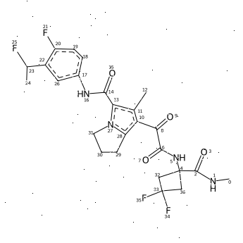 CNC(=O)C1(NC(=O)C(=O)c2c(C)c(C(=O)Nc3ccc(F)c(C(C)F)c3)n3c2CCC3)CC(F)(F)C1